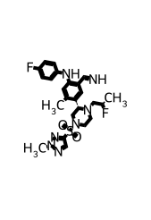 Cc1cc(Nc2ccc(F)cc2)c(C=N)cc1[C@H]1CN(S(=O)(=O)c2cnn(C)n2)CCN1C[C@H](C)F